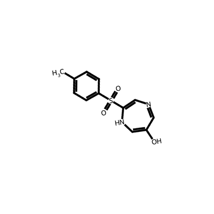 Cc1ccc(S(=O)(=O)C2=CN=CC(O)=CN2)cc1